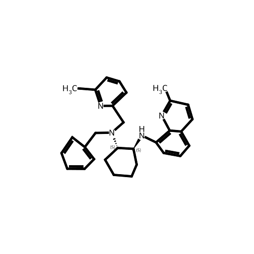 Cc1cccc(CN(Cc2ccccc2)[C@H]2CCCC[C@@H]2Nc2cccc3ccc(C)nc23)n1